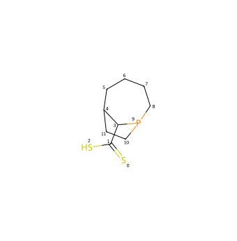 S=C(S)C1C2CCCCP1CC2